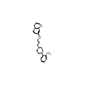 Cc1ccccc1N1CCN(CCCOc2ccc3c(c2)OC=CC3)CC1